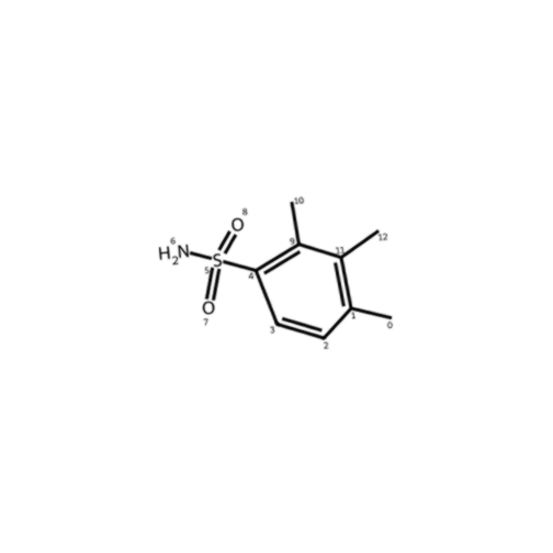 Cc1ccc(S(N)(=O)=O)c(C)c1C